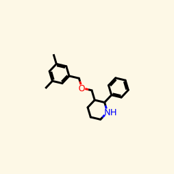 Cc1cc(C)cc(COCC2CCCNC2c2ccccc2)c1